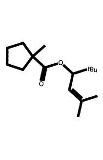 CC(C)=CC(OC(=O)C1(C)CCCC1)C(C)(C)C